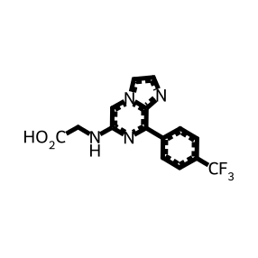 O=C(O)CNc1cn2ccnc2c(-c2ccc(C(F)(F)F)cc2)n1